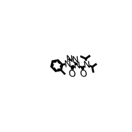 Cc1ccccc1-n1nnn(C(=O)N(C(C)C)C(C)C)c1=O